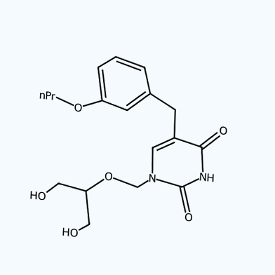 CCCOc1cccc(Cc2cn(COC(CO)CO)c(=O)[nH]c2=O)c1